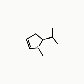 CC(C)[C@@H]1CC=CN1C